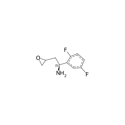 N[C@@H](CC1CO1)c1cc(F)ccc1F